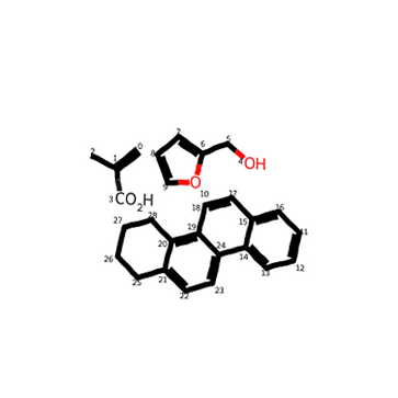 C=C(C)C(=O)O.OCc1ccco1.c1ccc2c(c1)ccc1c3c(ccc12)CCCC3